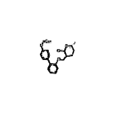 CCCCCCCCOc1ccc(-c2ccccc2OCC2CC[C@@H](C)OC2=O)cc1